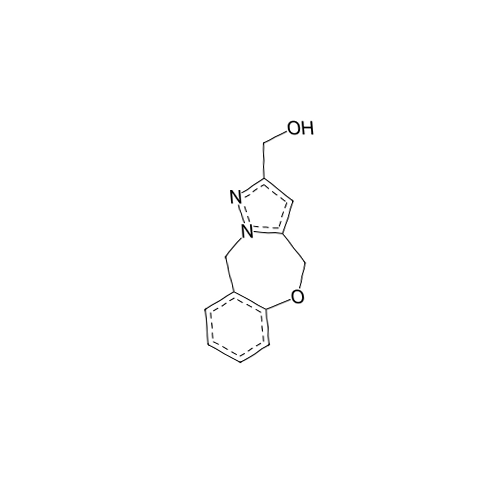 OCc1cc2n(n1)Cc1ccccc1OC2